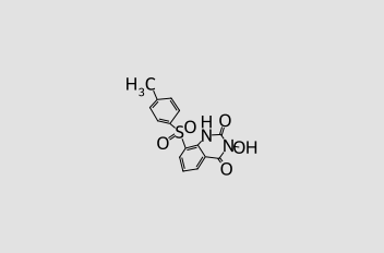 Cc1ccc(S(=O)(=O)c2cccc3c(=O)n(O)c(=O)[nH]c23)cc1